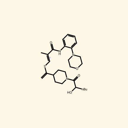 C=C(S/C=C(\C)C(=O)Nc1ccccc1N1CCOCC1)C1CCN(C(=O)C(O)CCCC)CC1